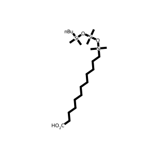 CCCC[Si](C)(C)O[Si](C)(C)O[Si](C)(C)CCCCCCCCCCCC(=O)O